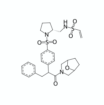 C=CS(=O)(=O)NC[C@H]1CCCN1S(=O)(=O)c1ccc(C(Cc2ccccc2)C(=O)N2CC3CCC(C2)O3)cc1